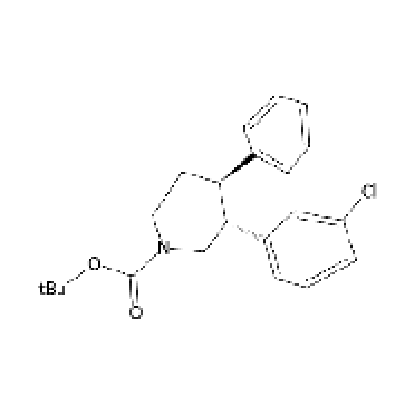 CC(C)(C)OC(=O)N1CC[C@@H](c2ccccc2)[C@H](c2cccc(Cl)c2)C1